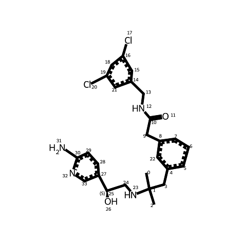 CC(C)(Cc1cccc(CC(=O)NCc2cc(Cl)cc(Cl)c2)c1)NC[C@@H](O)c1ccc(N)nc1